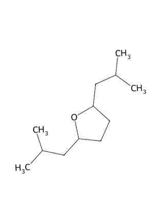 CC(C)CC1CCC(CC(C)C)O1